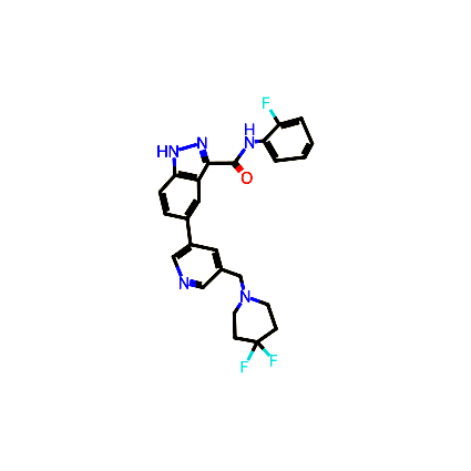 O=C(Nc1ccccc1F)c1n[nH]c2ccc(-c3cncc(CN4CCC(F)(F)CC4)c3)cc12